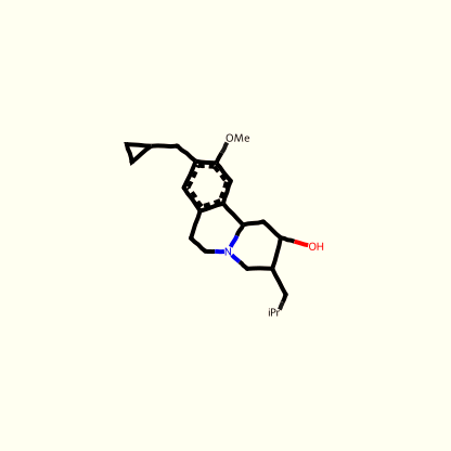 COc1cc2c(cc1CC1CC1)CCN1CC(CC(C)C)C(O)CC21